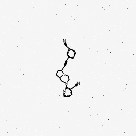 N#Cc1cccc(C#CC2CCC3CN(c4ncccc4C#N)CCN23)c1